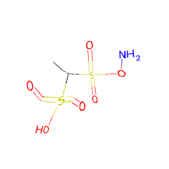 CC(S(=O)(=O)O)S(=O)(=O)ON